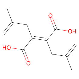 C=C(C)C/C(C(=O)O)=C(/CC(=C)C)C(=O)O